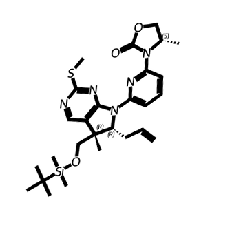 C=CC[C@H]1N(c2cccc(N3C(=O)OC[C@@H]3C)n2)c2nc(SC)ncc2[C@@]1(C)CO[Si](C)(C)C(C)(C)C